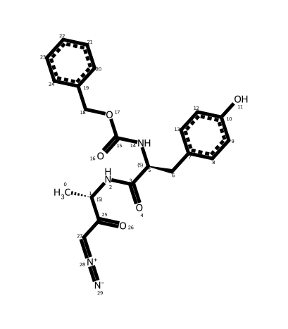 C[C@H](NC(=O)[C@H](Cc1ccc(O)cc1)NC(=O)OCc1ccccc1)C(=O)C=[N+]=[N-]